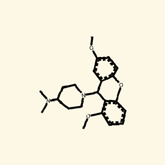 COc1ccc2c(c1)C(N1CCC(N(C)C)CC1)c1c(OC)cccc1O2